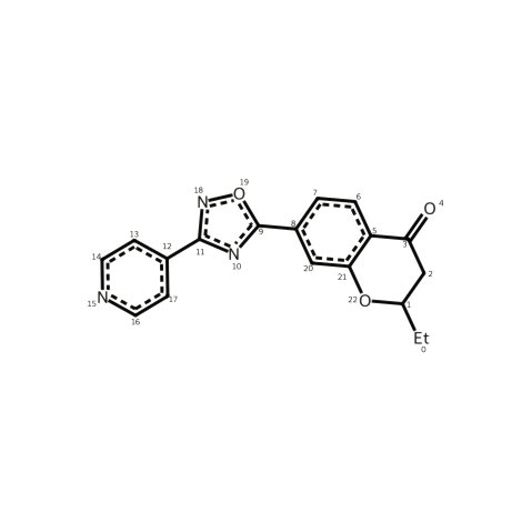 CCC1CC(=O)c2ccc(-c3nc(-c4ccncc4)no3)cc2O1